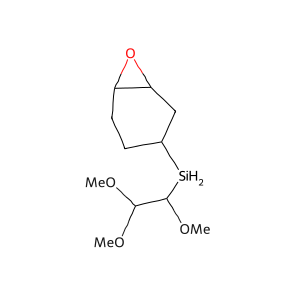 COC(OC)C(OC)[SiH2]C1CCC2OC2C1